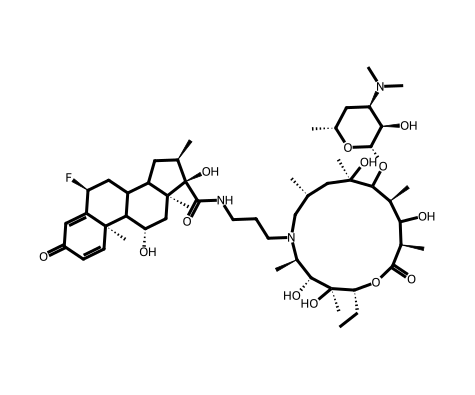 CC[C@H]1OC(=O)[C@H](C)C(O)[C@H](C)C(O[C@@H]2O[C@H](C)C[C@@H](N(C)C)[C@H]2O)[C@](C)(O)C[C@@H](C)CN(CCCNC(=O)[C@@]2(O)[C@H](C)CC3C4C[C@H](F)C5=CC(=O)C=C[C@]5(C)C4[C@@H](O)C[C@@]32C)[C@H](C)[C@@H](O)[C@]1(C)O